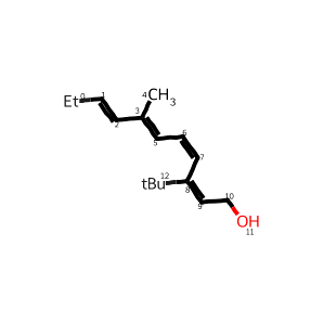 CC/C=C/C(C)=C/C=C\C(=C/CO)C(C)(C)C